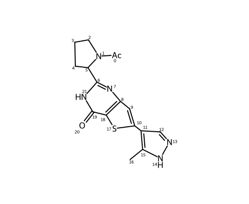 CC(=O)N1CCCC1c1nc2cc(-c3cn[nH]c3C)sc2c(=O)[nH]1